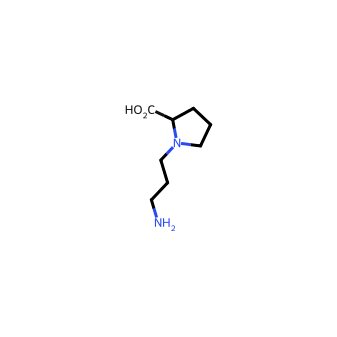 NCCCN1CCCC1C(=O)O